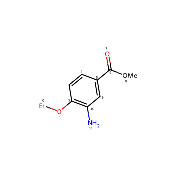 CCOc1ccc(C(=O)OC)cc1N